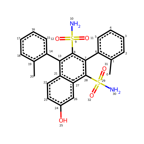 Cc1ccccc1-c1c(S(N)(=O)=O)c(-c2ccccc2C)c2ccc(O)cc2c1S(N)(=O)=O